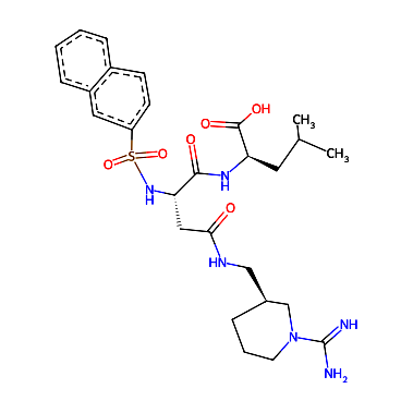 CC(C)C[C@@H](NC(=O)[C@H](CC(=O)NC[C@@H]1CCCN(C(=N)N)C1)NS(=O)(=O)c1ccc2ccccc2c1)C(=O)O